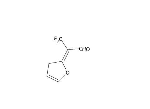 O=CC(=C1CC=CO1)C(F)(F)F